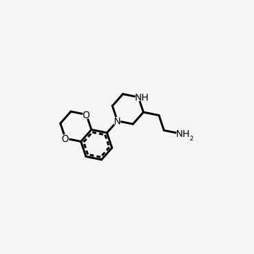 NCCC1CN(c2cccc3c2OCCO3)CCN1